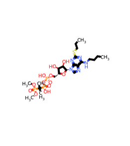 CCCCNc1nc(SCCC)nc2c1ncn2[C@@H]1O[C@H](COP(=O)(O)OP(=O)(O)C(C)(C)P(=O)(OC)OC)[C@@H](O)[C@H]1O